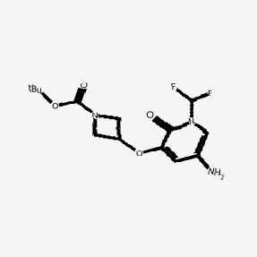 CC(C)(C)OC(=O)N1CC(Oc2cc(N)cn(C(F)F)c2=O)C1